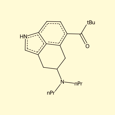 CCCN(CCC)C1Cc2c[nH]c3ccc(C(=O)C(C)(C)C)c(c23)C1